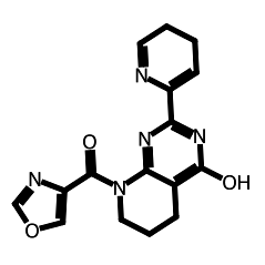 O=C(c1cocn1)N1CCCc2c(O)nc(C3=CCCC=N3)nc21